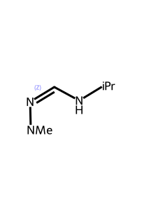 CN/N=C\NC(C)C